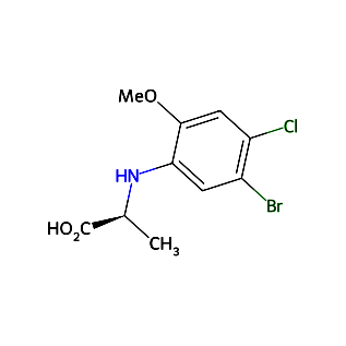 COc1cc(Cl)c(Br)cc1N[C@@H](C)C(=O)O